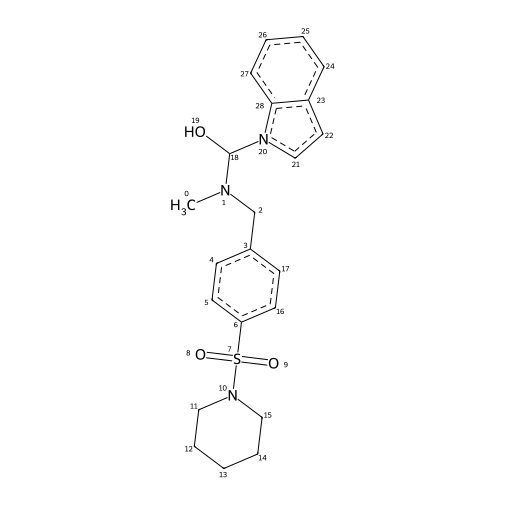 CN(Cc1ccc(S(=O)(=O)N2CCCCC2)cc1)C(O)n1ccc2ccccc21